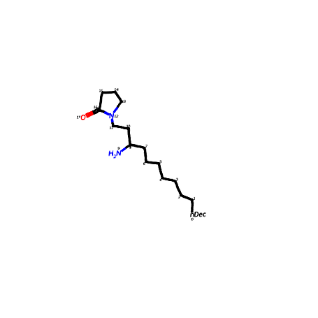 CCCCCCCCCCCCCCCCCC(N)CCN1CCCC1=O